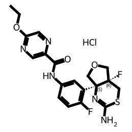 CCOc1cnc(C(=O)Nc2ccc(F)c([C@]34COC[C@@]3(F)CSC(N)=N4)c2)cn1.Cl